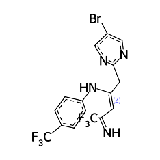 N=C(/C=C(/Cc1ncc(Br)cn1)Nc1ccc(C(F)(F)F)cc1)C(F)(F)F